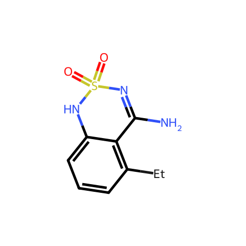 CCc1cccc2c1C(N)=NS(=O)(=O)N2